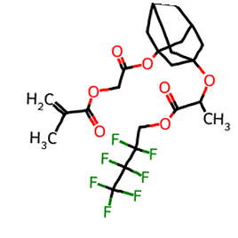 C=C(C)C(=O)OCC(=O)OC12CC3CC(C1)CC(OC(C)C(=O)OCC(F)(F)C(F)(F)C(F)(F)F)(C3)C2